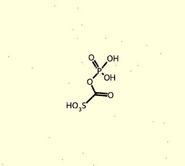 O=C(OP(=O)(O)O)S(=O)(=O)O